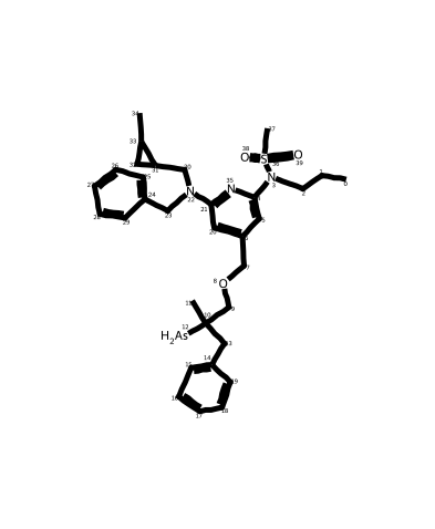 CCCN(c1cc(COCC(C)([AsH2])Cc2ccccc2)cc(N(Cc2ccccc2)CC2CC2C)n1)S(C)(=O)=O